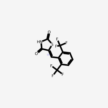 O=C1NC(=O)/C(=C/c2c(C(F)(F)F)cccc2C(F)(F)F)S1